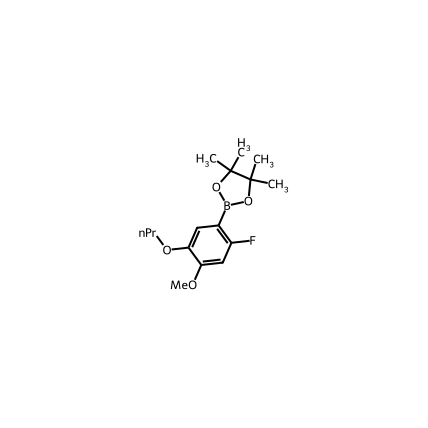 CCCOc1cc(B2OC(C)(C)C(C)(C)O2)c(F)cc1OC